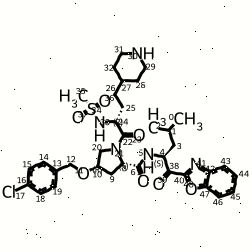 CC(C)C[C@H](NC(=O)[C@@H]1C[C@@H](OCc2ccc(Cl)cc2)CN1C(=O)[C@@H](CCC1CCNCC1)NS(C)(=O)=O)C(=O)c1nc2ccccc2o1